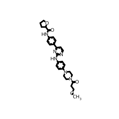 COCCC(=O)N1CCN(c2ccc(Nc3nccc(-c4ccc(NC(=O)C5CCCO5)cc4)n3)cc2)CC1